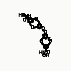 O=C(NO)c1cc2cc(c1)COCc1cc(cc(OCOc3cc4cc(c3)COCc3cc(cc(C(=O)NO)c3)COC4)c1)COC2